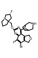 Fc1c(Br)c2c(c3c(N4C5CCC4CNC5)nc(OC[C@@]45CCCN4C[C@H](F)C5)nc13)COC2